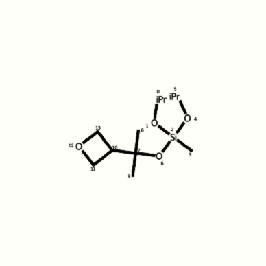 CC(C)O[Si](C)(OC(C)C)OC(C)(C)C1COC1